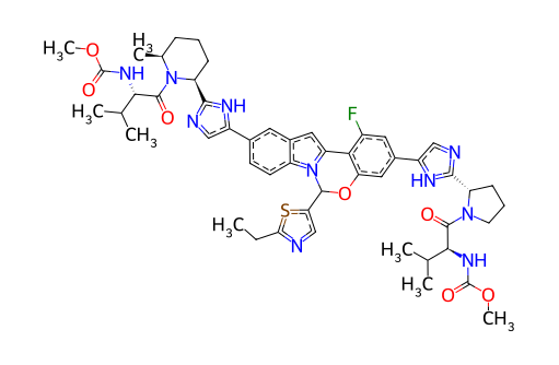 CCc1ncc(C2Oc3cc(-c4cnc([C@@H]5CCCN5C(=O)[C@@H](NC(=O)OC)C(C)C)[nH]4)cc(F)c3-c3cc4cc(-c5cnc([C@@H]6CCC[C@H](C)N6C(=O)[C@@H](NC(=O)OC)C(C)C)[nH]5)ccc4n32)s1